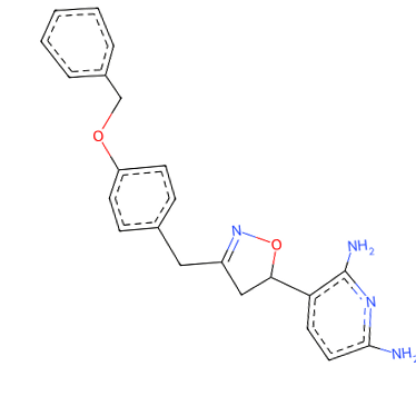 Nc1ccc(C2CC(Cc3ccc(OCc4ccccc4)cc3)=NO2)c(N)n1